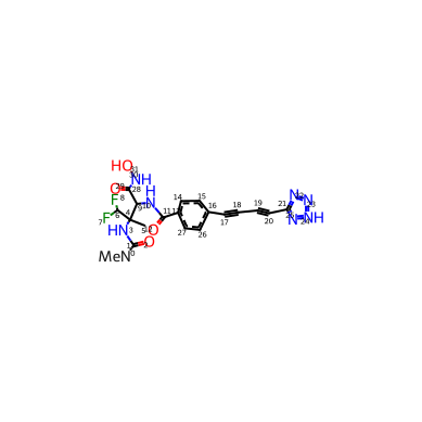 CNC(=O)NC(C)(C(F)F)C(NC(=O)c1ccc(C#CC#Cc2nn[nH]n2)cc1)C(=O)NO